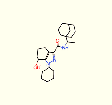 CC(NC(=O)c1nn(C2CCCCC2)c2c1CCCC2O)C12CCCC(CCC1)C2